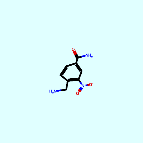 NCc1ccc(C(N)=O)cc1[N+](=O)[O-]